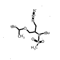 CC(OCC(CN=[N+]=[N-])N(C(C)(C)C)S(C)(=O)=O)C(C)(C)C